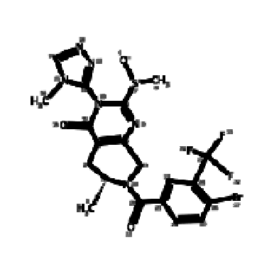 C[C@@H]1Cc2c(nc([S+](C)[O-])n(-c3nncn3C)c2=O)CN1C(=O)c1ccc(Br)c(C(F)(F)F)c1